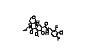 C=CCN1C(=O)c2c(OC)c(=O)c(C(=O)NCc3ccc(F)c(Cl)c3F)cn2[C@H]2COCC[C@]21C